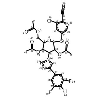 CC(=O)OCC1OC(Sc2cnc(C#N)c(Cl)c2)C(OC(C)=O)C(n2cc(-c3cc(F)c(Cl)c(F)c3)nn2)C1OC(C)=O